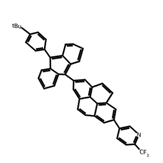 CC(C)(C)c1ccc(-c2c3ccccc3c(-c3cc4ccc5cc(-c6ccc(C(F)(F)F)nc6)cc6ccc(c3)c4c56)c3ccccc23)cc1